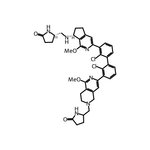 COc1nc(-c2cccc(-c3cccc(-c4cc5c(c(OC)n4)[C@H](NC[C@@H]4CCC(=O)N4)CC5)c3Cl)c2Cl)cc2c1CCN(CC1CCC(=O)N1)C2